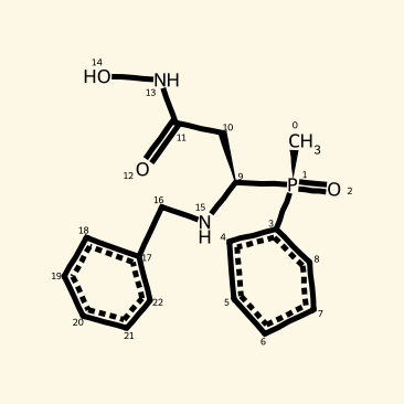 C[P@@](=O)(c1ccccc1)[C@H](CC(=O)NO)NCc1ccccc1